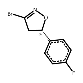 Fc1ccc([C@@H]2CC(Br)=NO2)cc1